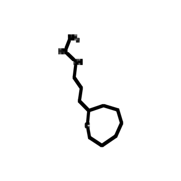 NNNCCCC1CCCCCCC1